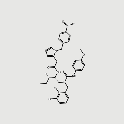 CC[C@H](C)[C@@H](CN(Cc1cccc(Cl)c1Cl)C(=S)Nc1ccc(OC)cc1)NC(=O)Cc1cncn1Cc1ccc([N+](=O)[O-])cc1